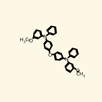 COc1cccc(N(c2ccccc2)c2ccc(Oc3ccc(N(c4ccccc4)c4cccc(OC)c4)cc3)cc2)c1